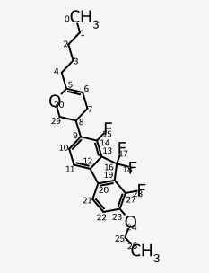 CCCCCC1=CCC(c2ccc3c(c2F)C(F)(F)c2c-3ccc(OCC)c2F)CO1